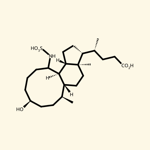 C[C@H](CCC(=O)O)[C@H]1CC[C@H]2[C@@H]3C(NS(=O)(=O)O)CCC[C@H](O)CC[C@H](C)[C@H]3CC[C@]12C